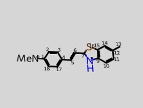 CNc1ccc(/C=C/C2Nc3ccc(C)cc3S2)cc1